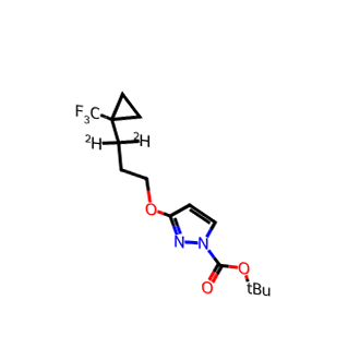 [2H]C([2H])(CCOc1ccn(C(=O)OC(C)(C)C)n1)C1(C(F)(F)F)CC1